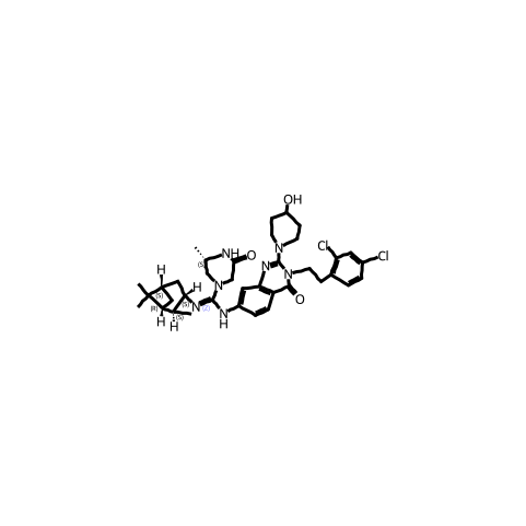 C[C@@H]1[C@@H](/N=C(/Nc2ccc3c(=O)n(CCc4ccc(Cl)cc4Cl)c(N4CCC(O)CC4)nc3c2)N2CC(=O)N[C@@H](C)C2)C[C@@H]2C[C@H]1C2(C)C